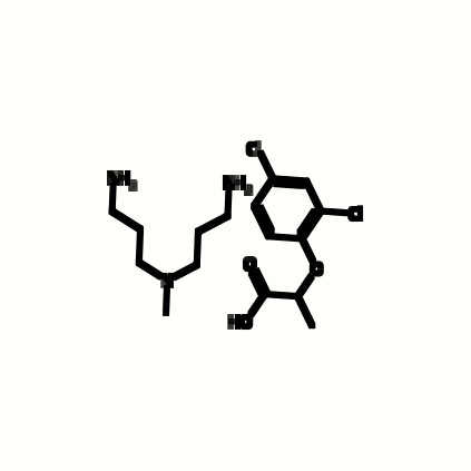 CC(Oc1ccc(Cl)cc1Cl)C(=O)O.CN(CCCN)CCCN